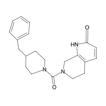 O=C(N1CCC(Cc2ccccc2)CC1)N1CCc2ccc(=O)[nH]c2C1